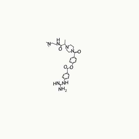 CC(C(=O)NCCN(C)C)N1CCN(C(=O)c2ccc(OC(=O)c3ccc(NC(=N)N)cc3)cc2)CC1